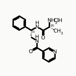 C[C@@H](N)C(=O)N[C@H](CNC(=O)c1cccnc1)c1ccccc1.Cl